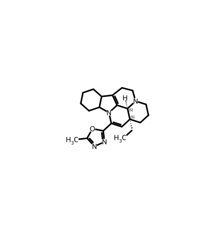 CC[C@@]12C=C(c3nnc(C)o3)N3C4=C(CCN(CCC1)[C@H]42)C1CCCCC13